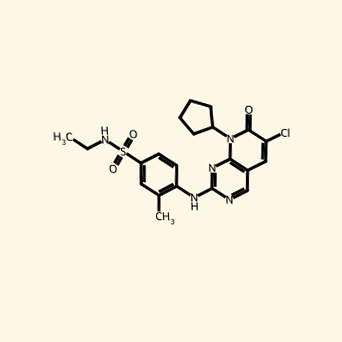 CCNS(=O)(=O)c1ccc(Nc2ncc3cc(Cl)c(=O)n(C4CCCC4)c3n2)c(C)c1